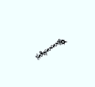 Cc1ccc(S(=O)(=O)OCCOCCOCCOCCOCCNC(=O)OCC[Si](C)(C)C)cc1